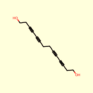 OCCC#CC#CCCC#CC#CCCO